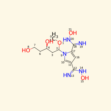 COC(C[C@H](O)CCO)n1cc(C(=N)NO)cc1C(=N)NO